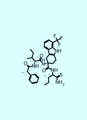 CCC(C)[C@H](NC(=O)[C@@H](C)c1ccccc1)C(=O)N[C@]1(C(=O)NC(C(N)=S)[C@@H](C)CC)CCc2[nH]c3c(C(F)(F)F)cccc3c2C1